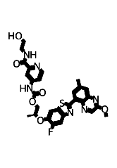 COc1cnc2c(-c3nc4cc(F)c(O[C@@H](C)COC(=O)Nc5ccnc(C(=O)NCCO)c5)cc4s3)cc(C)cc2n1